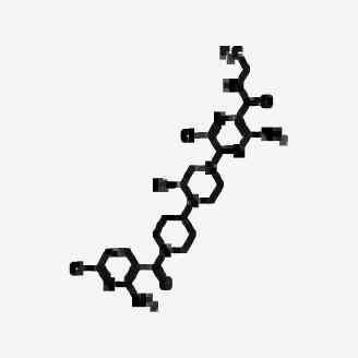 CC[C@H]1CN(c2nc(N)c(C(=O)NCC(F)(F)F)nc2Cl)CCN1C1CCN(C(=O)c2ccc(Cl)nc2N)CC1